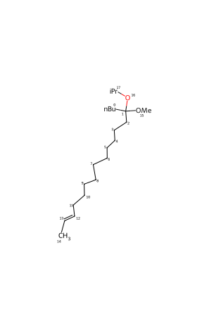 [CH2]CCCC(CCCCCCCCCC/C=C/C)(OC)OC(C)C